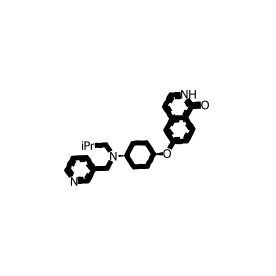 CC(C)CN(Cc1cccnc1)[C@H]1CC[C@H](Oc2ccc3c(=O)[nH]ccc3c2)CC1